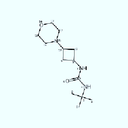 CC(C)(C)NC(=O)NC1CC(N2CCOCC2)C1